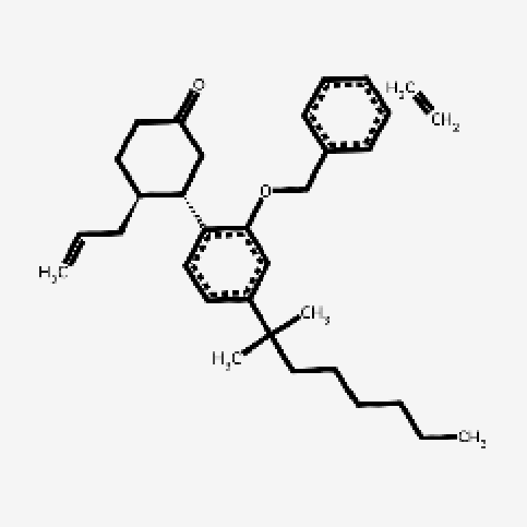 C=C.C=CC[C@H]1CCC(=O)C[C@@H]1c1ccc(C(C)(C)CCCCCC)cc1OCc1ccccc1